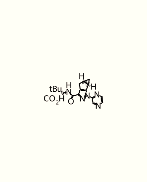 CC(C)(C)[C@H](NC(=O)c1nn(-c2cnccn2)c2c1C[C@H]1C[C@@H]21)C(=O)O